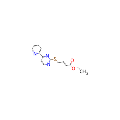 CCOC(=O)/C=C/CSc1nccc(-c2ccccn2)n1